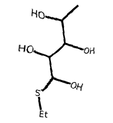 CCSC(O)C(O)C(O)C(C)O